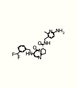 Cc1nc(N)ccc1CNC(=O)[C@@H]1CCc2ncc(NCc3cccc(C(F)F)c3)c(=O)n21